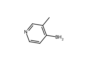 Bc1ccncc1C